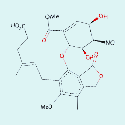 COC(=O)C1=C[C@@H](O)[C@@H](N=O)[C@@H](O)[C@@H]1Oc1c(C/C=C(\C)CCC(=O)O)c(OC)c(C)c2c1C(=O)OC2